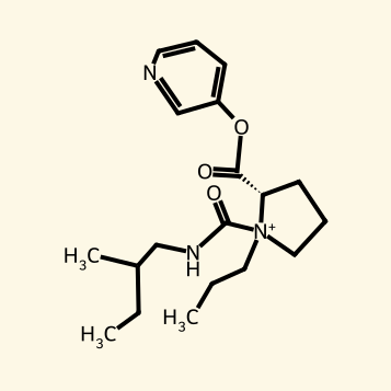 CCC[N+]1(C(=O)NCC(C)CC)CCC[C@H]1C(=O)Oc1cccnc1